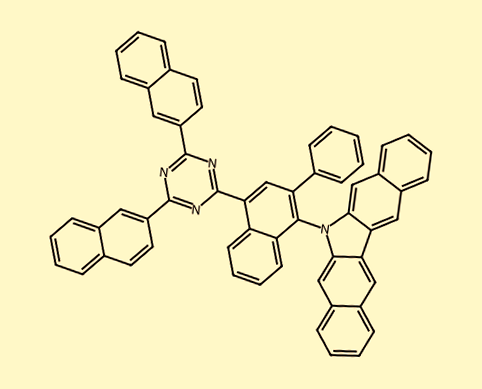 c1ccc(-c2cc(-c3nc(-c4ccc5ccccc5c4)nc(-c4ccc5ccccc5c4)n3)c3ccccc3c2-n2c3cc4ccccc4cc3c3cc4ccccc4cc32)cc1